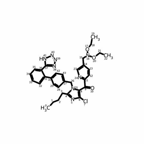 CCCCc1nc(Cl)c(C(=O)c2ccc(CN(OCC)OCC)cn2)n1Cc1ccc(-c2ccccc2-c2nnn[nH]2)cc1